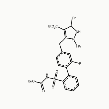 CCCN1NC(C(C)C)C(C(=O)OCC)=C1Cc1ccc(-c2ccccc2S(=O)(=O)NC(=O)OCC(C)C)c(F)c1